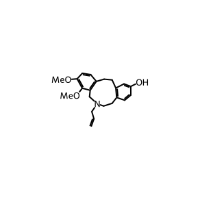 C=CCN1CCc2ccc(O)cc2CCc2ccc(OC)c(OC)c2C1